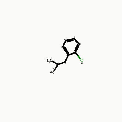 CC(=O)C(C)Cc1ccccc1Cl